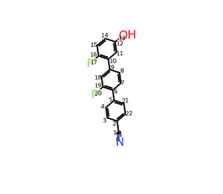 N#Cc1ccc(-c2ccc(-c3cc(O)ccc3F)cc2F)cc1